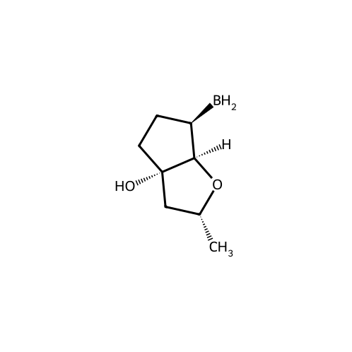 B[C@@H]1CC[C@]2(O)C[C@@H](C)O[C@H]12